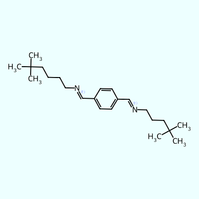 CC(C)(C)CCCC/N=C/c1ccc(/C=N/CCCC(C)(C)C)cc1